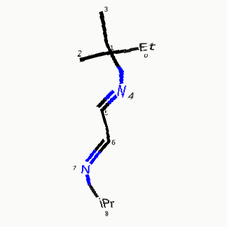 CCC(C)(C)N=CC=NC(C)C